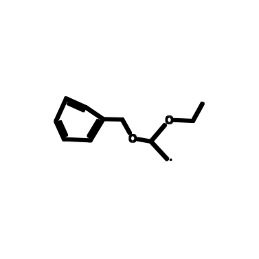 [CH2]C(OCC)OCc1ccccc1